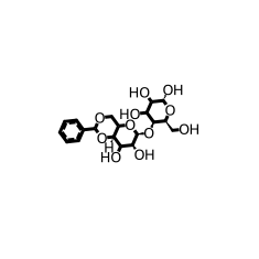 OC[C@@H]1O[C@@H](O)C(O)C(O)[C@@H]1O[C@@H]1OC2COC(c3ccccc3)O[C@@H]2C(O)[C@@H]1O